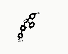 COc1ccc(-c2ccc(-c3nnc(-c4ccc(C(C)(C)C)cc4)n3-c3ccccc3)cc2)cc1